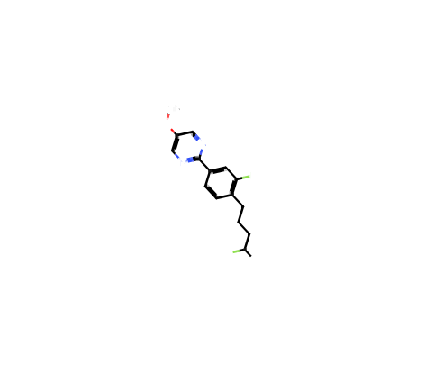 CCCCCCCCCOc1cnc(-c2ccc(CCCC(C)F)c(F)c2)nc1